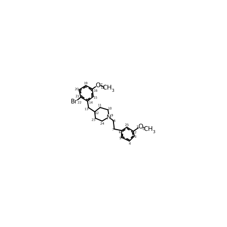 COc1cccc(CCN2CCC(Cc3cc(OC)ccc3Br)CC2)c1